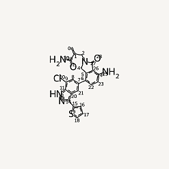 C=C(CN1Cc2c(-c3cc(Cl)c4[nH]nc(-c5cccs5)c4c3)ccc(N)c2C1=O)C(N)=O